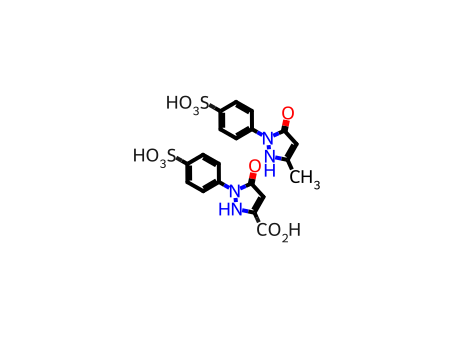 Cc1cc(=O)n(-c2ccc(S(=O)(=O)O)cc2)[nH]1.O=C(O)c1cc(=O)n(-c2ccc(S(=O)(=O)O)cc2)[nH]1